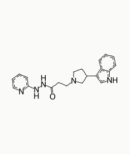 O=C(CCN1CCC(c2c[nH]c3ccccc23)C1)NNc1ccccn1